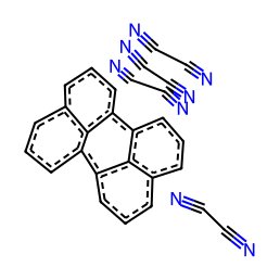 N#CC#N.N#CC#N.N#CC#N.N#CC#N.c1cc2cccc3c4cccc5cccc(c(c1)c23)c54